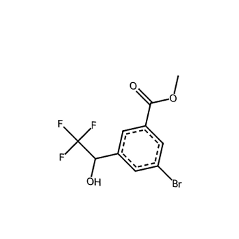 COC(=O)c1cc(Br)cc(C(O)C(F)(F)F)c1